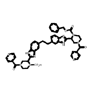 O=C(c1ccncc1)N1CCN(C(=O)O)C(c2nc3cc(CCc4ccc5nc(C6CN(C(=O)c7ccncc7)CCN6C(=O)OCc6ccccc6)[nH]c5c4)ccc3[nH]2)C1